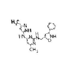 Cc1cc(Nc2cc(C)nc(NCC3=CC(c4ccccc4)NO3)n2)[nH]n1